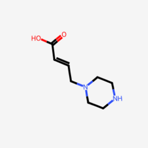 O=C(O)C=CCN1CCNCC1